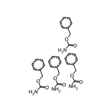 NC(=O)OCc1ccccc1.NC(=O)OCc1ccccc1.NC(=O)OCc1ccccc1.NC(=O)OCc1ccccc1